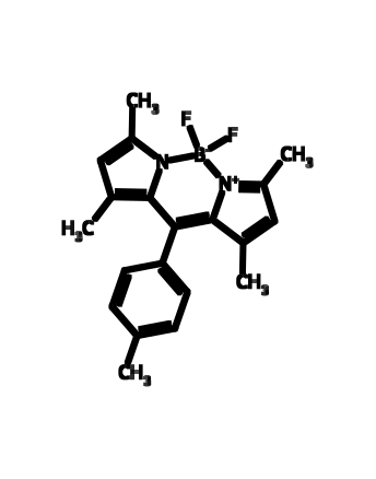 CC1=CC(C)=[N+]2C1=C(c1ccc(C)cc1)c1c(C)cc(C)n1[B-]2(F)F